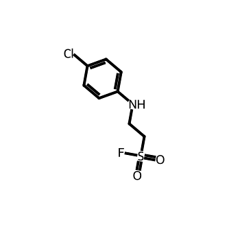 O=S(=O)(F)CCNc1ccc(Cl)cc1